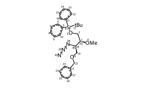 CO[C@H](CO[Si](c1ccccc1)(c1ccccc1)C(C)(C)C)[C@@H](COCc1ccccc1)N=[N+]=[N-]